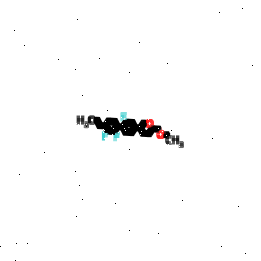 CCCc1ccc(-c2ccc(C3CCC(COCC)OC3)cc2F)c(F)c1F